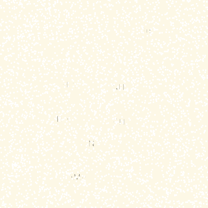 CO/C=N/C(C)(C)[C@H](C)NC(=O)OC(C)(C)C